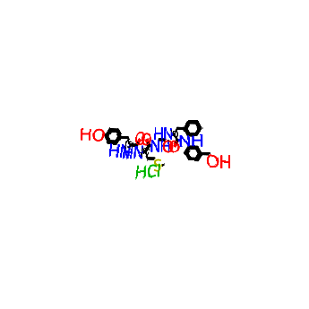 CN[C@@H](Cc1ccc(O)cc1)C(=O)N[C@H](CCSC)C(=O)NCC(=O)N[C@@H](Cc1ccccc1)C(=O)Nc1cccc(CO)c1.Cl